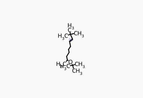 CC(CCCC/C=C/C(C)(C)C)OC(C)(C)C